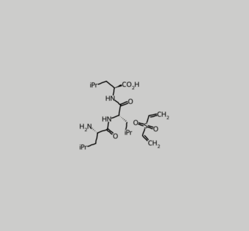 C=CS(=O)(=O)C=C.CC(C)C[C@H](NC(=O)[C@H](CC(C)C)NC(=O)[C@@H](N)CC(C)C)C(=O)O